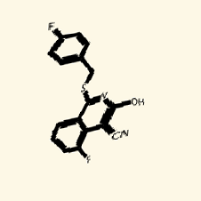 N#Cc1c(O)nc(SCc2ccc(F)cc2)c2cccc(F)c12